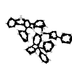 c1ccc(-c2ccc(N(c3ccc4c(c3)C(c3ccccc3)(c3ccccc3)c3ccccc3-4)c3cccc4c3oc3c(-c5ccccc5)c5c(cc34)oc3ccccc35)cc2)cc1